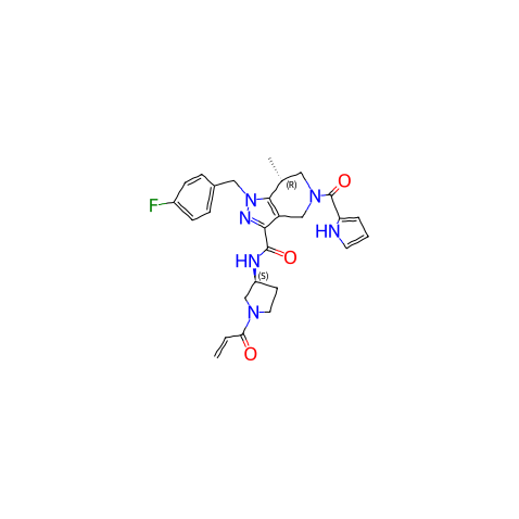 C=CC(=O)N1CC[C@H](NC(=O)c2nn(Cc3ccc(F)cc3)c3c2CN(C(=O)c2ccc[nH]2)C[C@H]3C)C1